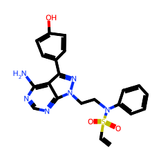 C=CS(=O)(=O)N(CCn1nc(-c2ccc(O)cc2)c2c(N)ncnc21)c1ccccc1